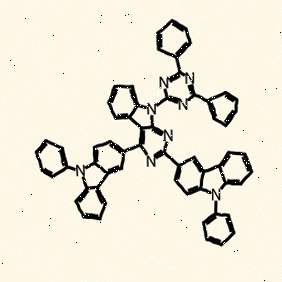 c1ccc(-c2nc(-c3ccccc3)nc(-n3c4ccccc4c4c(-c5ccc6c(c5)c5ccccc5n6-c5ccccc5)nc(-c5ccc6c(c5)c5ccccc5n6-c5ccccc5)nc43)n2)cc1